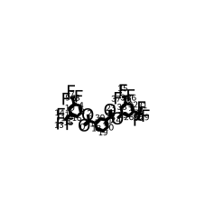 O=C(Oc1cc(C(F)(F)F)cc(C(F)(F)F)c1)c1cccc(C(=O)Oc2cc(C(F)(F)F)cc(C(F)(F)F)c2)c1